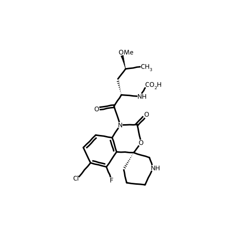 CO[C@@H](C)C[C@H](NC(=O)O)C(=O)N1C(=O)O[C@]2(CCCNC2)c2c1ccc(Cl)c2F